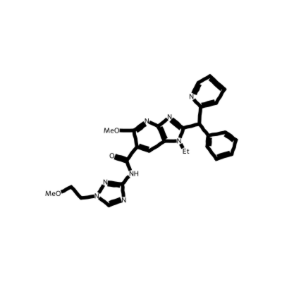 CCn1c(C(c2ccccc2)c2ccccn2)nc2nc(OC)c(C(=O)Nc3ncn(CCOC)n3)cc21